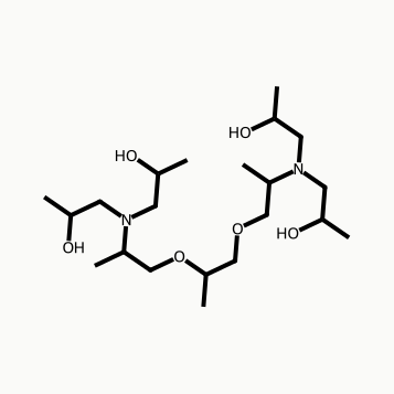 CC(O)CN(CC(C)O)C(C)COCC(C)OCC(C)N(CC(C)O)CC(C)O